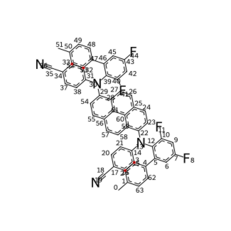 Cc1ccc(-c2cc(F)cc(F)c2N(c2ccc(C#N)cc2)c2ccc3ccc4c(N(c5ccc(C#N)cc5)c5c(F)cc(F)cc5-c5ccc(C)cc5)ccc5ccc2c3c54)cc1